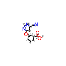 COC(=O)c1cccc(Oc2cc(C#N)ncn2)c1